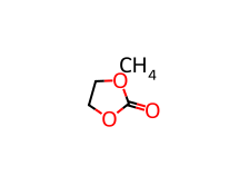 C.O=C1OCCO1